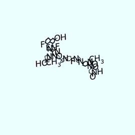 CCc1c(F)ccc2cc(O)cc(-c3ncc4c(N5CCC[C@@](C)(O)C5)nc(OCC5(CN6CCC(F)(CN7CCN(c8ccc9c(c8)n(C)c(=O)n9C8CCC(=O)NC8=O)CC7)CC6)CC5)nc4c3F)c12